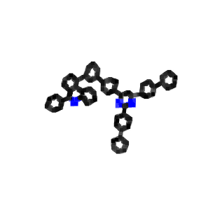 c1ccc(-c2ccc(-c3cc(-c4ccc(-c5cccc(-c6cccc7c(-c8ccccc8)nc8ccccc8c67)c5)cc4)nc(-c4ccc(-c5ccccc5)cc4)n3)cc2)cc1